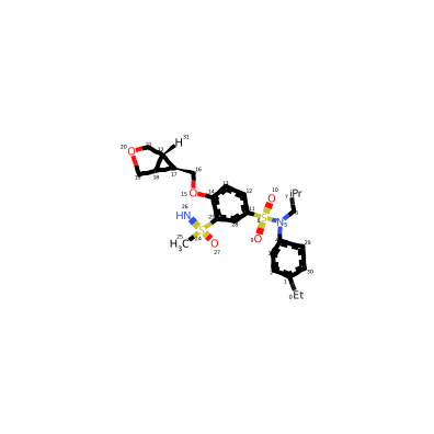 CCc1ccc(N(CC(C)C)S(=O)(=O)c2ccc(OC[C@H]3C4COC[C@@H]43)c(S(C)(=N)=O)c2)cc1